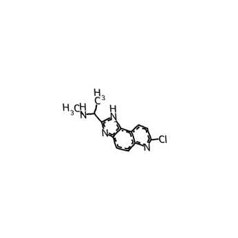 CNC(C)c1nc2ccc3nc(Cl)ccc3c2[nH]1